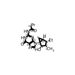 CC[C@@H]1[C@@H](C)[C@@H](O)[C@@]2(n3cnc4c(=O)[nH]c(NC(=O)C(C)C)nc43)C[C@@H]12